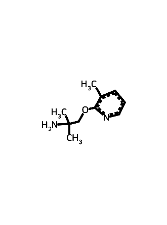 Cc1cccnc1OCC(C)(C)N